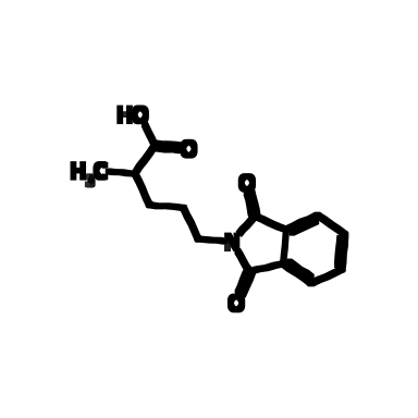 CC(CCCN1C(=O)c2ccccc2C1=O)C(=O)O